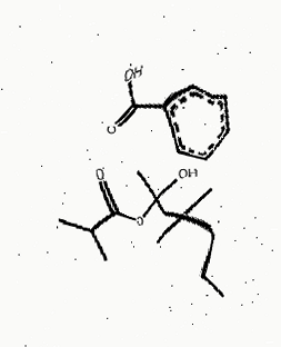 CCCC(C)(C)C(C)(O)OC(=O)C(C)C.O=C(O)c1ccccc1